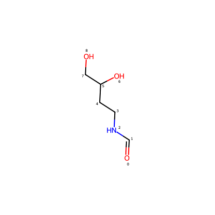 O=CNCCC(O)CO